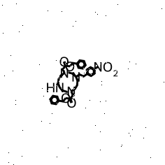 O=C(CN1CCCN(CCc2ccc([N+](=O)[O-])cc2)CCN(CC(=O)OCc2ccccc2)CCCNCC1)OCc1ccccc1